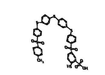 Cc1ccc(S(=O)(=O)c2ccc(Sc3ccc(Sc4ccc(Sc5ccc(S(=O)(=O)c6ccc(S)c(S(=O)(=O)O)c6)cc5)cc4)cc3)cc2)cc1